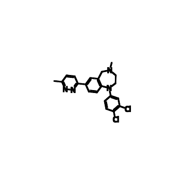 Cc1ccc(-c2ccc3c(c2)CN(C)CCN3c2ccc(Cl)c(Cl)c2)nn1